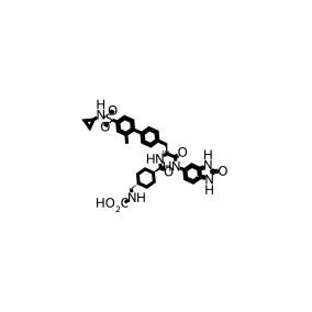 Cc1cc(S(=O)(=O)NC2CC2)ccc1-c1ccc(C[C@H](NC(=O)[C@H]2CC[C@H](CNC(=O)O)CC2)C(=O)Nc2ccc3[nH]c(=O)[nH]c3c2)cc1